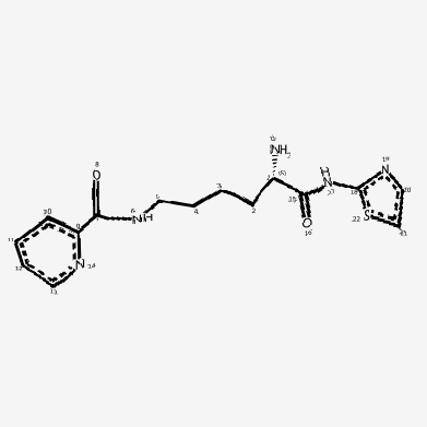 N[C@@H](CCCCNC(=O)c1ccccn1)C(=O)Nc1nccs1